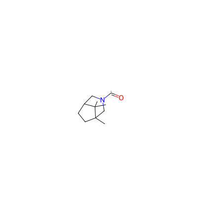 CC12CCC(CN([C]=O)C1)C2(C)C